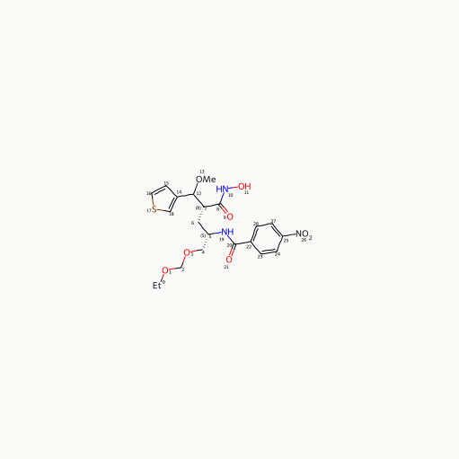 CCOCOC[C@H](C[C@@H](C(=O)NO)C(OC)c1ccsc1)NC(=O)c1ccc([N+](=O)[O-])cc1